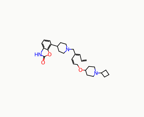 C=C/C=C(\C=C/COC1CCN(C2CCC2)CC1)CN1CCC(c2cccc3[nH]c(=O)oc23)CC1